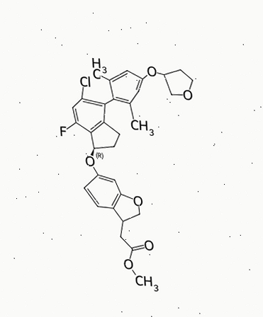 COC(=O)CC1COc2cc(O[C@@H]3CCc4c(-c5c(C)cc(OC6CCOC6)cc5C)c(Cl)cc(F)c43)ccc21